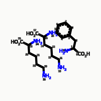 NC(Cc1ccccc1)C(=O)O.NCCCCC(N)C(=O)O.NCCCCC(N)C(=O)O